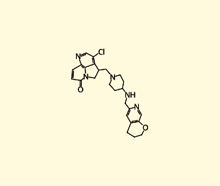 O=c1ccc2ncc(Cl)c3c2n1CC3CN1CCC(NCc2cc3c(cn2)OCCC3)CC1